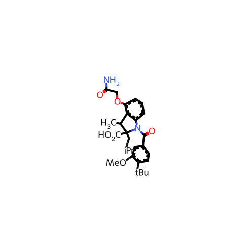 COc1cc(C(=O)N2c3cccc(OCC(N)=O)c3C(C)C2(CC(C)C)C(=O)O)ccc1C(C)(C)C